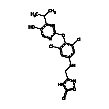 CC(C)c1nc(Oc2c(Cl)cc(NCc3noc(=O)[nH]3)cc2Cl)ncc1O